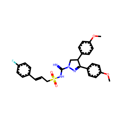 COc1ccc(C2=NN(C(=N)NS(=O)(=O)CC=Cc3ccc(F)cc3)CC2c2ccc(OC)cc2)cc1